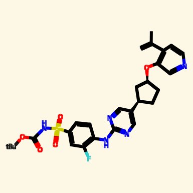 C=C(C)c1ccncc1O[C@H]1CC[C@@H](c2cnc(Nc3ccc(S(=O)(=O)NC(=O)OC(C)(C)C)cc3F)nc2)C1